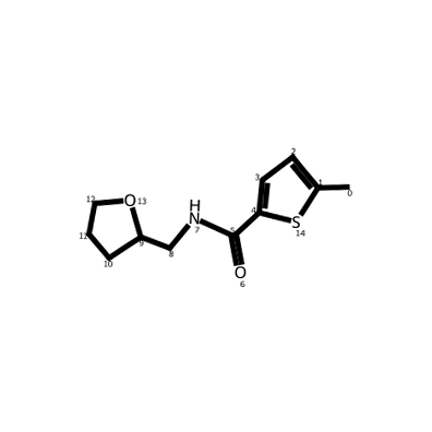 Cc1ccc(C(=O)NCC2CCCO2)s1